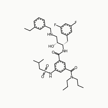 CCCN(CCC)C(=O)c1cc(NS(=O)(=O)CC(C)C)cc(C(=O)N[C@@H](Cc2cc(F)cc(F)c2)[C@H](O)CNCc2cccc(CC)c2)c1